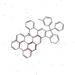 Cc1cccc(C2(c3ccccc3)C3=C(CCC=C3)c3ccc(-c4ccccc4N(c4ccccc4-c4cccc5cccc(-c6ccccc6)c45)c4cccc5ccccc45)cc32)c1